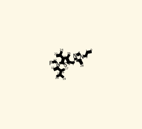 C=CCN1C=NN(Cc2sc(N(CF)C(=C)C(C)C(C)C)c(C(=C)C)c2C)C1=C